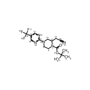 CC(C)(C)OC(=O)N1CCN(c2ncc(C(F)(F)F)cn2)CC1CC#N